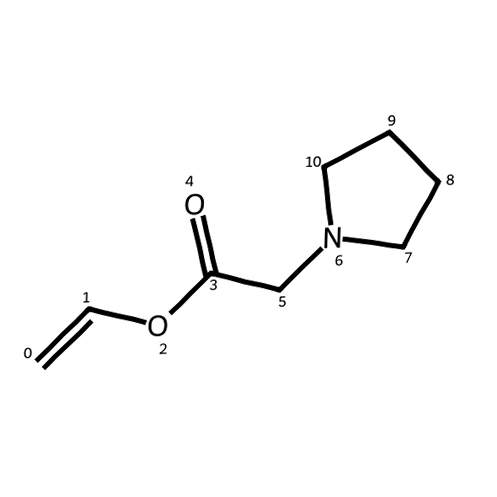 C=COC(=O)CN1CCCC1